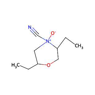 CCC1C[N+]([O-])(C#N)C(CC)CO1